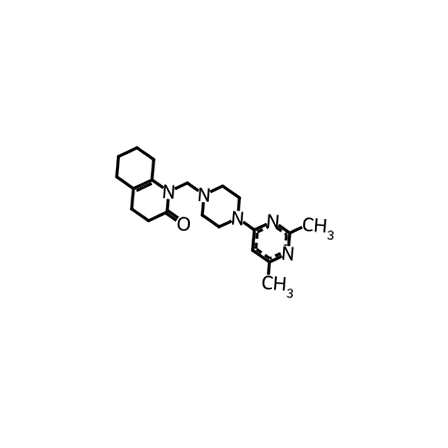 Cc1cc(N2CCN(CN3C(=O)CCC4=C3CCCC4)CC2)nc(C)n1